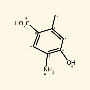 Cc1cc(O)c(N)cc1C(=O)O